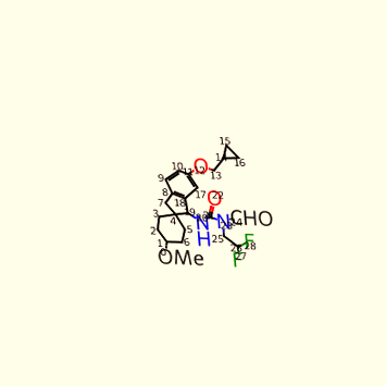 COC1CCC2(CC1)Cc1ccc(OCC3CC3)cc1C2NC(=O)N(C=O)CC(F)F